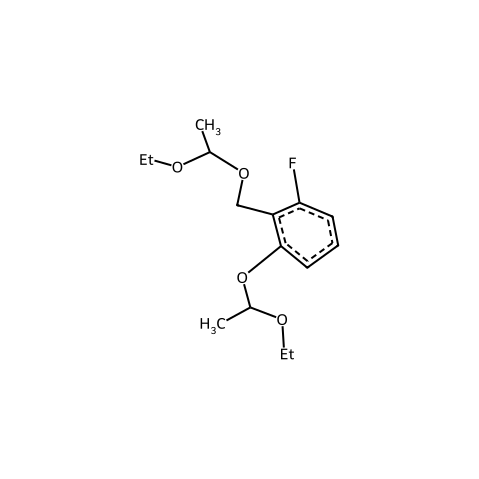 CCOC(C)OCc1c(F)cccc1OC(C)OCC